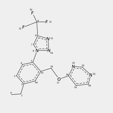 CCc1ccc(-n2cc(C(F)(F)F)nn2)c(COc2ccncn2)c1